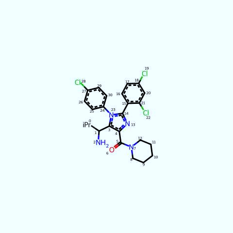 CC(C)C(N)c1c(C(=O)N2CCCCC2)nc(-c2ccc(Cl)cc2Cl)n1-c1ccc(Cl)cc1